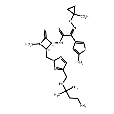 CC(C)(CCN)NCc1cnn(C[C@@H]2[C@H](NC(=O)/C(=N\OC3(C(=O)O)CC3)c3csc(N)n3)C(=O)N2S(=O)(=O)O)n1